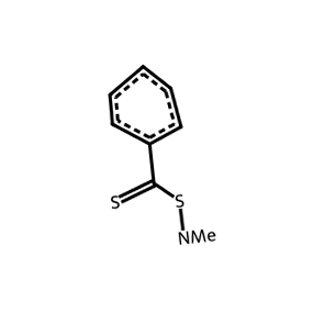 CNSC(=S)c1ccccc1